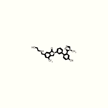 Cn1cnnc1-c1cc(C#N)ccc1-c1cccc(N2Cc3c(cc(CNCCO)cc3C(F)(F)F)C2=O)c1